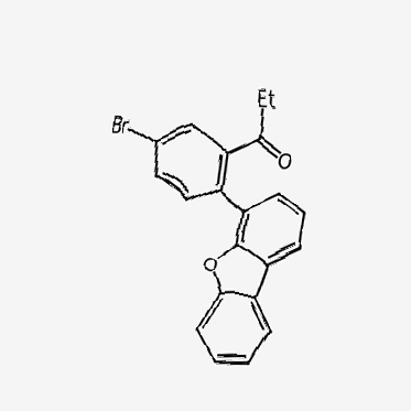 CCC(=O)c1cc(Br)ccc1-c1cccc2c1oc1ccccc12